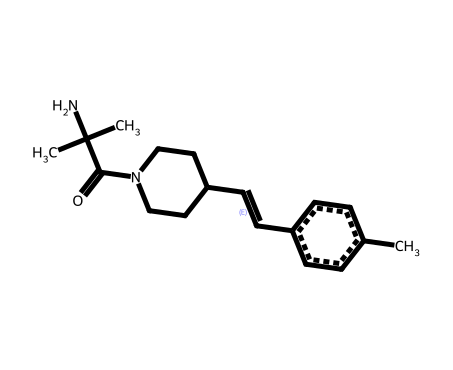 Cc1ccc(/C=C/C2CCN(C(=O)C(C)(C)N)CC2)cc1